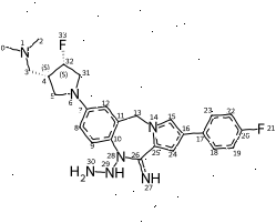 CN(C)C[C@H]1CN(c2ccc3c(c2)Cn2cc(-c4ccc(F)cc4)cc2C(=N)N3NN)C[C@H]1F